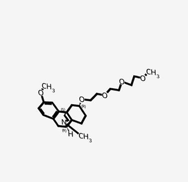 COCCOCCOCCO[C@@H]1CCC2[C@H]3Cc4ccc(OC)cc4[C@@]2(CCN3C)C1